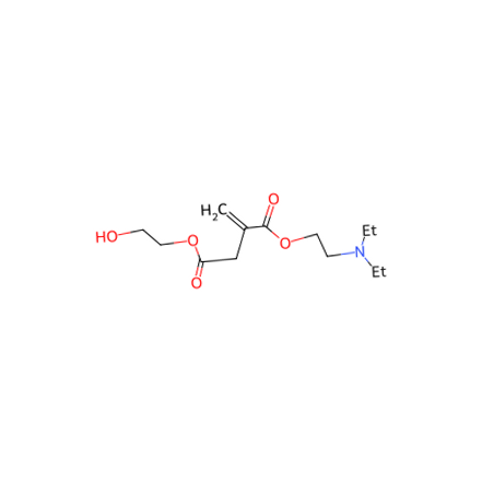 C=C(CC(=O)OCCO)C(=O)OCCN(CC)CC